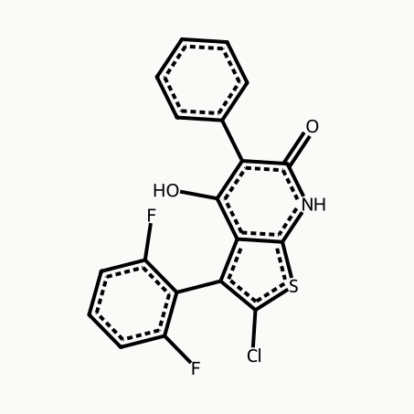 O=c1[nH]c2sc(Cl)c(-c3c(F)cccc3F)c2c(O)c1-c1ccccc1